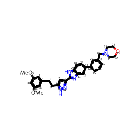 COc1cc(CCc2cc(-c3nc4cc(-c5cccc(CN6CCOCC6)c5)ccc4[nH]3)n[nH]2)cc(OC)c1